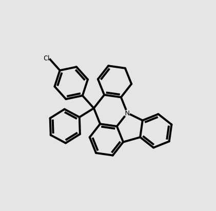 Clc1ccc(C2(c3ccccc3)C3=C(CCC=C3)n3c4ccccc4c4cccc2c43)cc1